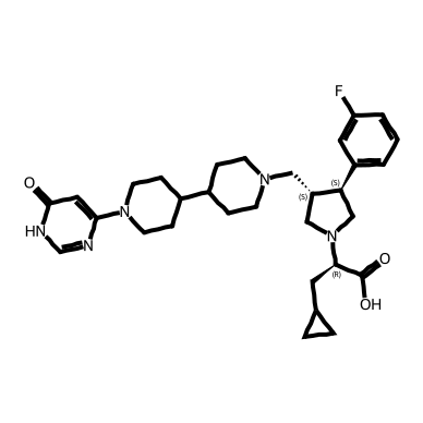 O=C(O)[C@@H](CC1CC1)N1C[C@H](CN2CCC(C3CCN(c4cc(=O)[nH]cn4)CC3)CC2)[C@@H](c2cccc(F)c2)C1